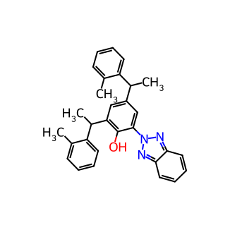 Cc1ccccc1C(C)c1cc(C(C)c2ccccc2C)c(O)c(-n2nc3ccccc3n2)c1